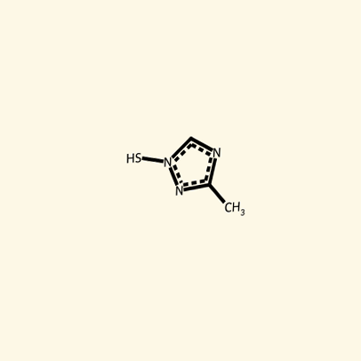 Cc1ncn(S)n1